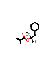 C=C(C)C(=O)OC(CC)(CC)CC1CCCCC1